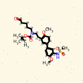 COc1ccc(-c2ccc(OC)c(NS(C)(=O)=O)c2)cc1CCN(CCCCC=O)C(=O)OC(C)(C)C